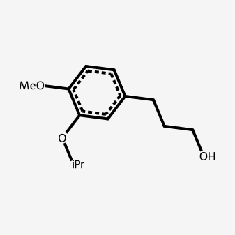 COc1ccc(CCCO)cc1OC(C)C